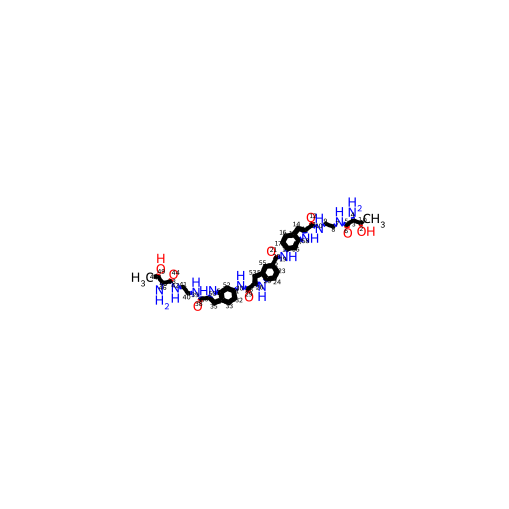 CC(O)C(N)C(=O)NCCNC(=O)c1cc2ccc(NC(=O)c3ccc4[nH]c(C(=O)Nc5ccc6cc(C(=O)NCCNC(=O)C(N)C(C)O)[nH]c6c5)cc4c3)cc2[nH]1